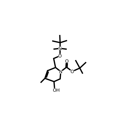 CC1=CC(CO[Si](C)(C)C(C)(C)C)N(C(=O)OC(C)(C)C)CC1O